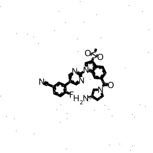 CS(=O)(=O)c1cn(-c2ncc(-c3cc(C#N)ccc3F)cn2)c2cc(C(=O)N3CC[C@@H](N)C3)ccc12